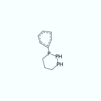 c1ccc(P2CCCPP2)cc1